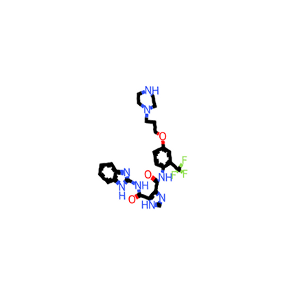 O=C(Nc1ccc(OCCCN2CCNCC2)cc1C(F)(F)F)c1nc[nH]c1C(=O)Nc1nc2ccccc2[nH]1